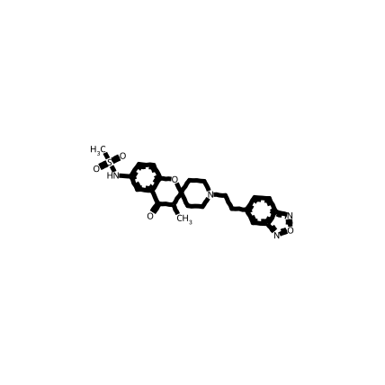 CC1C(=O)c2cc(NS(C)(=O)=O)ccc2OC12CCN(CCc1ccc3nonc3c1)CC2